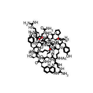 CC(=O)N[C@@H](CCCNC(=N)N)C(=O)N[C@@H](CCCNC(=N)N)C(=O)N[C@@H](Cc1ccc2ccccc2c1)C(=O)N[C@@H](CS)C(=O)N[C@@H](Cc1ccc(O)cc1)C(=O)N[C@@H](CCCNC(N)=O)C(=O)N[C@@H](CCCCN)C(=O)N[C@H](CCCCN)C(=O)N1CCC[C@H]1C(=O)N[C@@H](Cc1ccc(O)cc1)C(=O)N[C@@H](CCCNC(=N)N)C(=O)N[C@@H](CCCNC(N)=O)C(=O)N[C@@H](CS)C(=O)N[C@@H](CCCNC(=N)N)C(N)=O